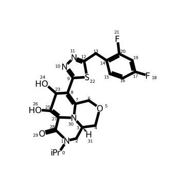 CC(C)N1C[C@@H]2COCC3=C(c4nnc(Cc5ccc(F)cc5F)s4)C(O)C(O)=C(C1=O)N32